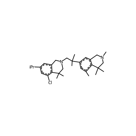 Cc1cc(C(C)(C)CN2Cc3cc(C(C)C)cc(Cl)c3C(C)(C)C2)cc2c1C(C)(C)CN(C)C2